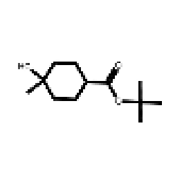 CC1(O)CCC(C(=O)OC(C)(C)C)CC1